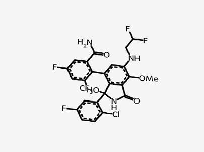 COc1c(NCC(F)F)cc(-c2c(C(N)=O)cc(F)cc2C(F)(F)F)c2c1C(=O)NC2(O)c1cc(F)ccc1Cl